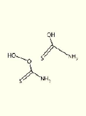 NC(=S)OO.NC(O)=S